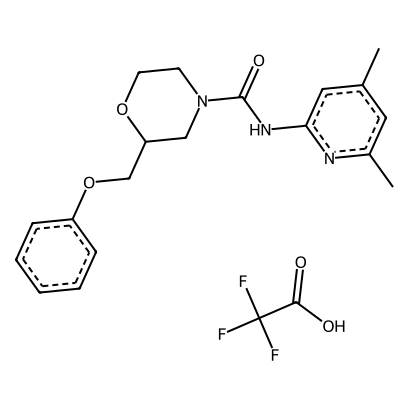 Cc1cc(C)nc(NC(=O)N2CCOC(COc3ccccc3)C2)c1.O=C(O)C(F)(F)F